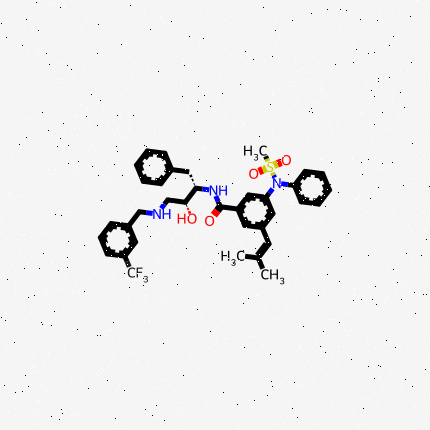 CC(C)=Cc1cc(C(=O)N[C@@H](Cc2ccccc2)[C@H](O)CNCc2cccc(C(F)(F)F)c2)cc(N(c2ccccc2)S(C)(=O)=O)c1